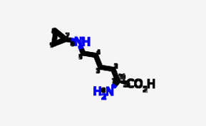 N[C@@H](CCCCNC1CC1)C(=O)O